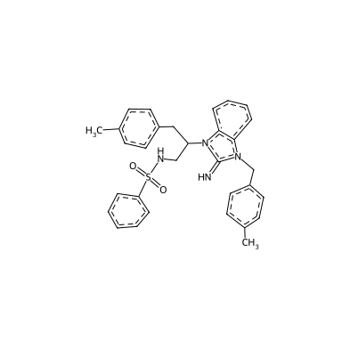 Cc1ccc(CC(CNS(=O)(=O)c2ccccc2)n2c(=N)n(Cc3ccc(C)cc3)c3ccccc32)cc1